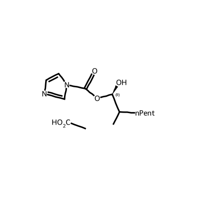 CC(=O)O.CCCCCC(C)[C@H](O)OC(=O)n1ccnc1